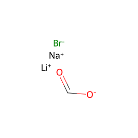 O=C[O-].[Br-].[Li+].[Na+]